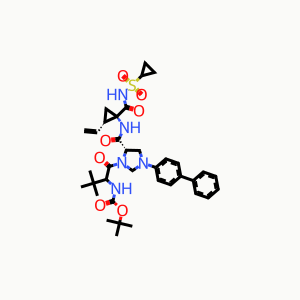 C=C[C@@H]1C[C@]1(NC(=O)[C@@H]1CN(c2ccc(-c3ccccc3)cc2)CN1C(=O)C(NC(=O)OC(C)(C)C)C(C)(C)C)C(=O)NS(=O)(=O)C1CC1